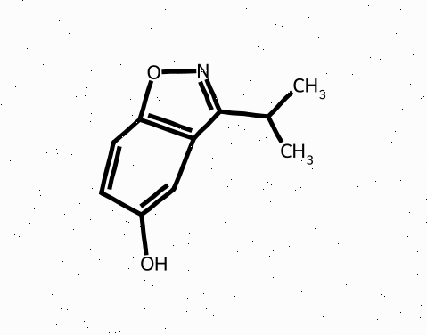 CC(C)c1noc2ccc(O)cc12